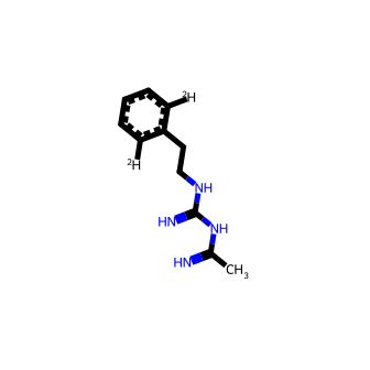 [2H]c1cccc([2H])c1CCNC(=N)NC(C)=N